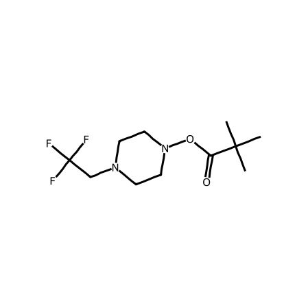 CC(C)(C)C(=O)ON1CCN(CC(F)(F)F)CC1